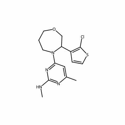 CNc1nc(C)cc(N2CCCOCC2c2ccsc2Cl)n1